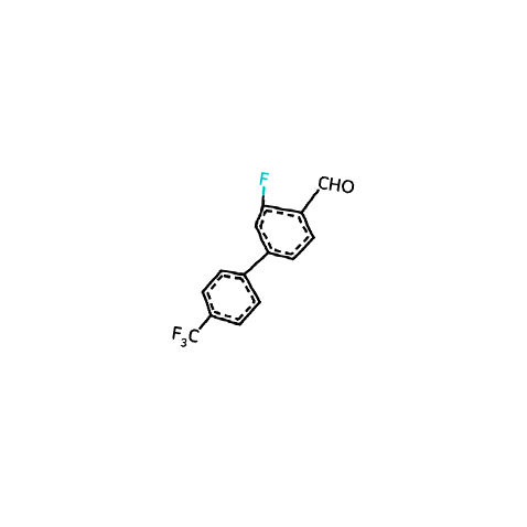 O=Cc1ccc(-c2ccc(C(F)(F)F)cc2)cc1F